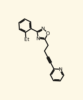 CCc1ccccc1-c1noc(CCC#Cc2ccccn2)n1